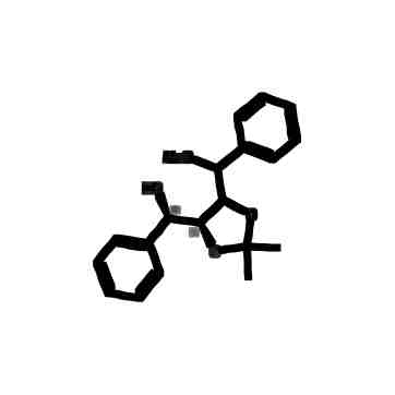 COC(c1ccccc1)C1OC(C)(C)O[C@H]1[C@H](O)c1ccccc1